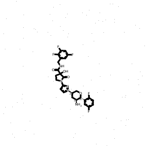 N[C@H]1C[C@@H](n2ccc(N3CCC(O)(C(=O)NCc4cc(F)cc(F)c4F)C3=O)n2)CO[C@@H]1c1cc(F)ccc1F